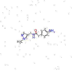 Cn1cc(CNC(=O)Cc2ccc(N)cc2)cn1